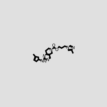 CC1=CCC(Nc2ncc3c(n2)CCN(C(=O)OCCCn2cnc(C)c2)C3)C1